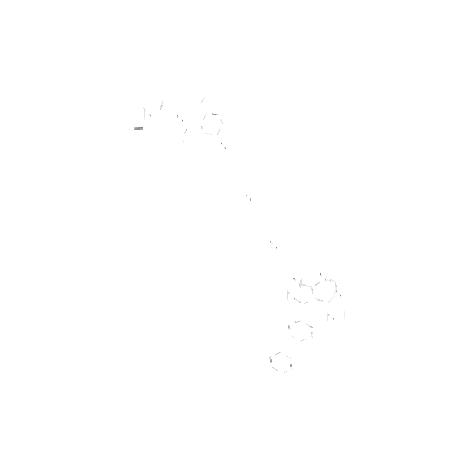 CN(C(=O)c1cc(N2CCC3(CC2)CC(N2CCC4(CC2)CC(N2CCC(n5nc(-c6ccc(Oc7ccccc7)cc6)c6c(N)ncnc65)CC2)C4)C3)ccc1C=O)C1CCC(=O)NC1=O